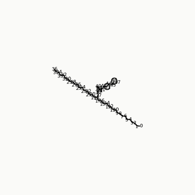 CCCCCCCCCCCCCCCCCCC(CCCCCCCCCCCCCCCCCC)CCN(C)CCOCCOC